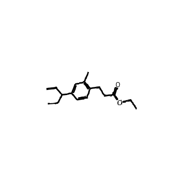 CCOC(=O)CCc1ccc(C(CC)CC)cc1C